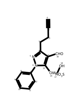 C#CCCc1nn(-c2ccccc2)c(OC)c1C=O.O=S(=O)(O)O